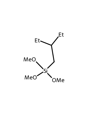 CCC(CC)C[Si](OC)(OC)OC